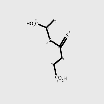 CC(SC(=S)CCC(=O)O)C(=O)O